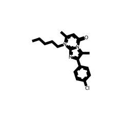 CCCCCn1c(C)cc(=O)n2c(C)c(-c3ccc(Cl)cc3)nc12